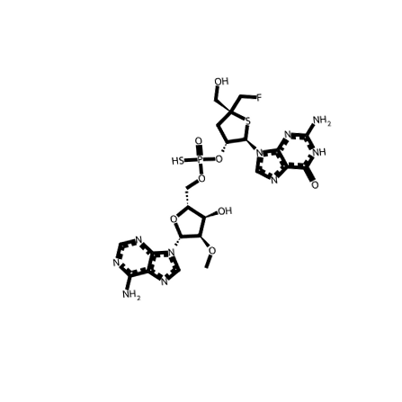 CO[C@@H]1[C@H](O)[C@@H](COP(=O)(S)O[C@@H]2C[C@](CO)(CF)S[C@H]2n2cnc3c(=O)[nH]c(N)nc32)O[C@H]1n1cnc2c(N)ncnc21